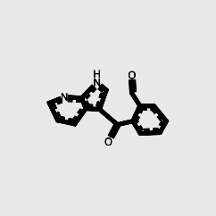 O=Cc1ccccc1C(=O)c1c[nH]c2ncccc12